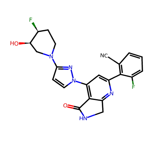 N#Cc1cccc(F)c1-c1cc(-n2ccc(N3CC[C@H](F)[C@H](O)C3)n2)c2c(n1)CNC2=O